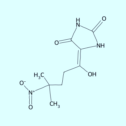 CC(C)(CCC(O)=C1NC(=O)NC1=O)[N+](=O)[O-]